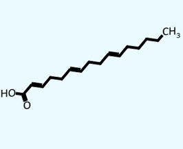 CCCCCC=CCCC=CCCC=CC(=O)O